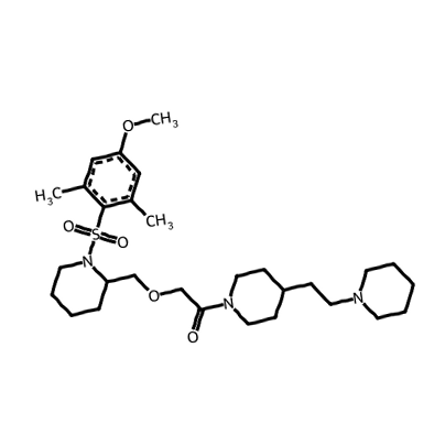 COc1cc(C)c(S(=O)(=O)N2CCCCC2COCC(=O)N2CCC(CCN3CCCCC3)CC2)c(C)c1